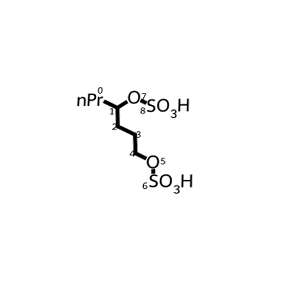 CCCC(CCCOS(=O)(=O)O)OS(=O)(=O)O